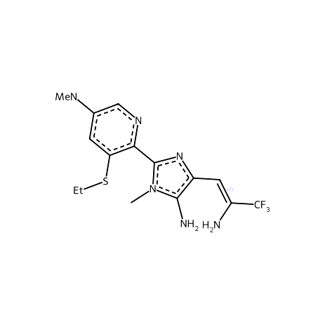 CCSc1cc(NC)cnc1-c1nc(/C=C(\N)C(F)(F)F)c(N)n1C